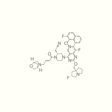 N#CC[C@H]1CN(c2nc(OC[C@@]34CCCN3C[C@H](F)C4)nc3c(F)c(-c4cccc5ccc(F)c(Cl)c45)ncc23)CCN1C(=O)/C=C/CN1C[C@H]2C[C@@H]1CO2